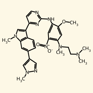 COc1cc(N(C)CCN(C)C)c([N+](=O)[O-])cc1Nc1nccc(-c2cn(C)c3cc(-c4cnn(C)c4)ccc23)n1